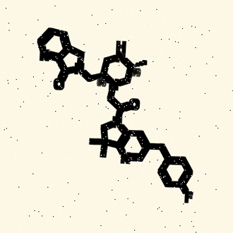 C[C@@H]1CN(CC(=O)N2CC(C)(C)c3ncc(Cc4ccc(F)cc4)cc32)[C@@H](CN2Cc3cccnc3C2=O)CN1